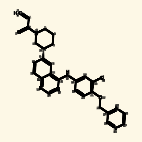 C=CC(=O)N1CCC[C@H](c2ccc3ncnc(Nc4ccc(OCc5cnccn5)c(Cl)c4)c3c2)C1